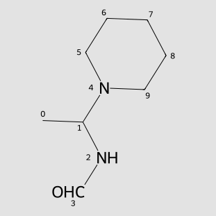 CC(NC=O)N1CCCCC1